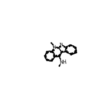 CNc1c2c3ccccc3nc-2n(C)c2ccccc12